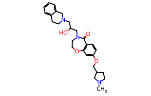 CN1CCC(COc2ccc3c(c2)OCCN(CC(O)CN2CCc4ccccc4C2)C3=O)C1